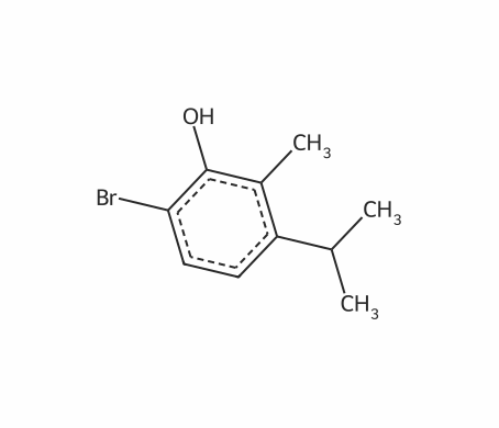 Cc1c(C(C)C)ccc(Br)c1O